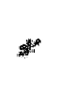 C[C@H]([C@H](CC=Cc1nc2ccccc2o1)c1ccc2c(c1)OCO2)N(Cc1ccc2ccccc2c1)C(=O)C(O)=C(CC(=O)O)C(=O)OC1CCCC1